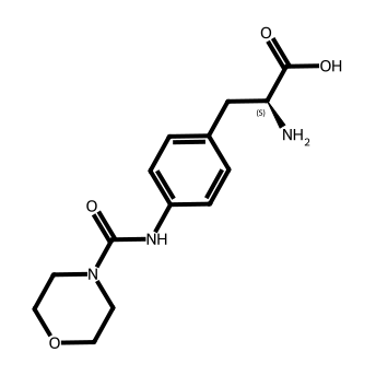 N[C@@H](Cc1ccc(NC(=O)N2CCOCC2)cc1)C(=O)O